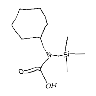 C[Si](C)(C)N(C(=O)O)C1CCCCC1